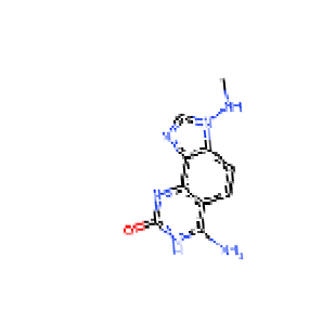 CNn1cnc2c3nc(=O)[nH]c(N)c3ccc21